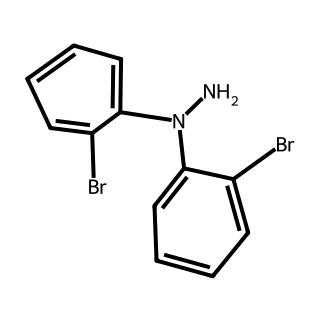 NN(c1ccccc1Br)c1ccccc1Br